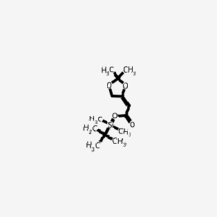 CC1(C)OCC(=CC(=O)O[Si](C)(C)C(C)(C)C)O1